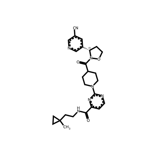 CC1(CCNC(=O)c2ccnc(N3CCC(C(=O)N4OCC[C@H]4c4cncc(C#N)c4)CC3)n2)CC1